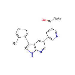 CCc1ccccc1-c1c[nH]c2ncc(-c3cncc(C(=O)NC)c3)cc12